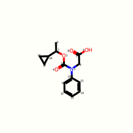 CC(OC(=O)N(CC(=O)O)c1ccccc1)C1CC1